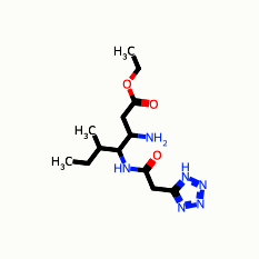 CCOC(=O)CC(N)C(NC(=O)Cc1nnn[nH]1)C(C)CC